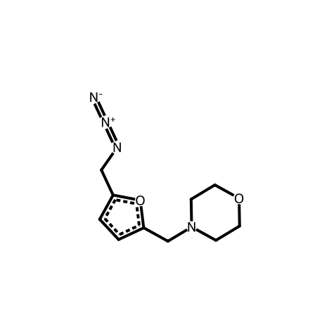 [N-]=[N+]=NCc1ccc(CN2CCOCC2)o1